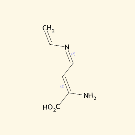 C=C/N=C\C=C(/N)C(=O)O